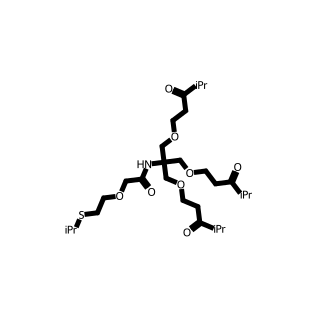 CC(C)SCCOCC(=O)NC(COCCC(=O)C(C)C)(COCCC(=O)C(C)C)COCCC(=O)C(C)C